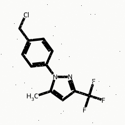 Cc1cc(C(F)(F)F)nn1-c1ccc(CCl)cc1